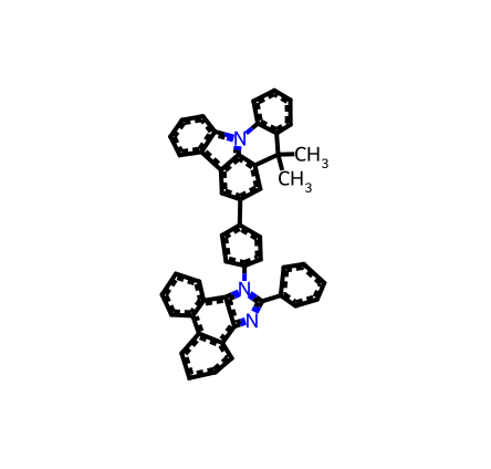 CC1(C)c2ccccc2-n2c3ccccc3c3cc(-c4ccc(-n5c(-c6ccccc6)nc6c7ccccc7c7ccccc7c65)cc4)cc1c32